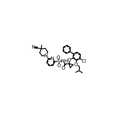 CC(C)COc1c(Cl)ccc(-c2ccccc2)c1OC1(C(=O)NS(=O)(=O)c2cccc(N3CCC(C)(C#N)CC3)n2)CC1